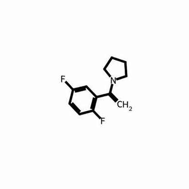 C=C(c1cc(F)ccc1F)N1CCCC1